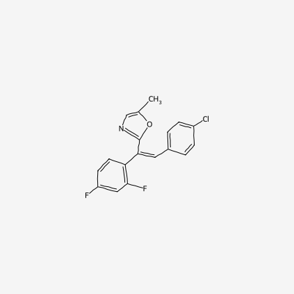 Cc1cnc(C(=Cc2ccc(Cl)cc2)c2ccc(F)cc2F)o1